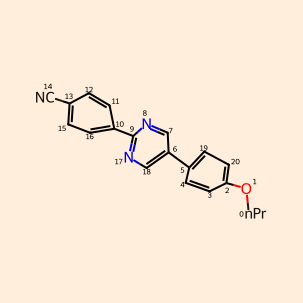 CCCOc1ccc(-c2cnc(-c3ccc(C#N)cc3)nc2)cc1